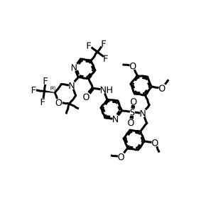 COc1ccc(CN(Cc2ccc(OC)cc2OC)S(=O)(=O)c2cc(NC(=O)c3cc(C(F)(F)F)cnc3N3C[C@H](C(F)(F)F)OC(C)(C)C3)ccn2)c(OC)c1